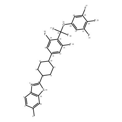 Cc1ccc2nc(C3CCC(c4cc(F)c(C(F)(F)Oc5cc(F)c(F)c(F)c5)c(F)c4)CC3)sc2c1